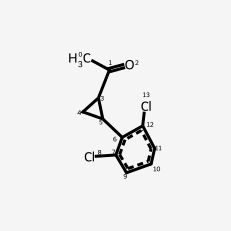 CC(=O)C1CC1c1c(Cl)cccc1Cl